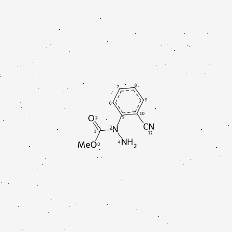 COC(=O)N(N)c1ccccc1C#N